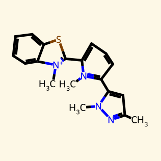 Cc1cc(-c2cccc(-c3sc4ccccc4[n+]3C)[n+]2C)n(C)n1